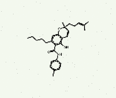 CCCCCc1cc2c(c(O)c1C(=O)Nc1ccc(C)cc1)C=CC(C)(CCC=C(C)C)O2